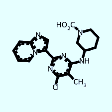 Cc1c(Cl)nc(-c2cnc3ccccn23)nc1NC1CCCN(C(=O)O)C1